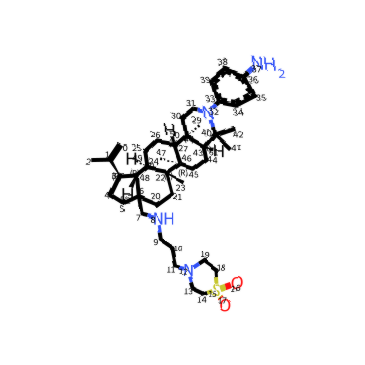 C=C(C)[C@@H]1CCC2(CNCCCN3CCS(=O)(=O)CC3)CC[C@]3(C)[C@H](CC[C@@H]4[C@@]5(C)CCN(c6ccc(N)cc6)C(C)(C)[C@@H]5CC[C@]43C)[C@@H]12